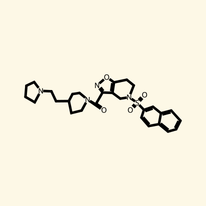 O=C(c1noc2c1CN(S(=O)(=O)c1ccc3ccccc3c1)CC2)N1CCC(CCN2CCCC2)CC1